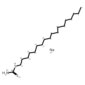 CCCCCCCCCCCCCCCCCCSC(N)=S.[Na]